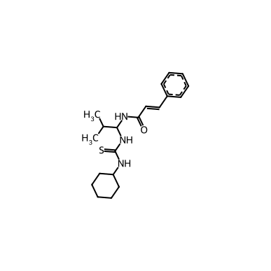 CC(C)C(NC(=O)C=Cc1ccccc1)NC(=S)NC1CCCCC1